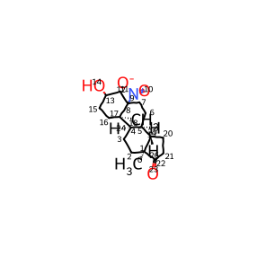 C[C@]12CC[C@@H]3[C@@H](CCC4([N+](=O)[O-])CC(O)CC[C@]34C)[C@@H]1CCC2=O